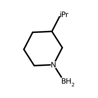 BN1CCCC(C(C)C)C1